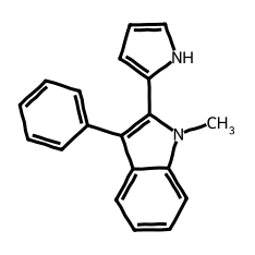 Cn1c(-c2ccc[nH]2)c(-c2ccccc2)c2ccccc21